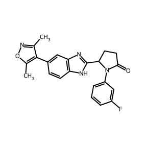 Cc1noc(C)c1-c1ccc2[nH]c(C3CCC(=O)N3c3cccc(F)c3)nc2c1